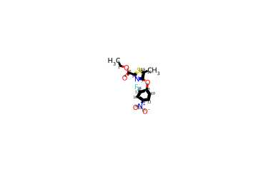 CCOC(=O)c1nc(Oc2ccc([N+](=O)[O-])cc2F)c(C)s1